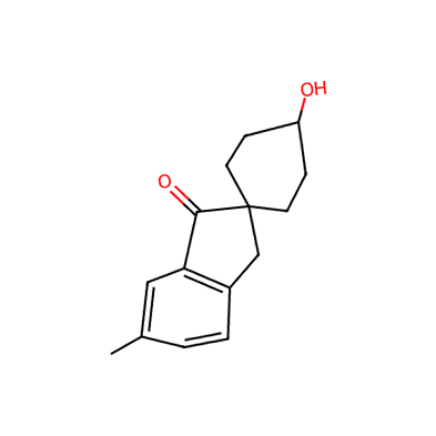 Cc1ccc2c(c1)C(=O)C1(CCC(O)CC1)C2